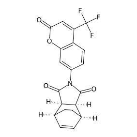 O=C1[C@@H]2[C@H](C(=O)N1c1ccc3c(C(F)(F)F)cc(=O)oc3c1)[C@@H]1C=C[C@H]2CC1